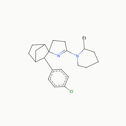 CCC1CCCCN1C1=NC2(CC1)C1CCC(C1)C2c1ccc(Cl)cc1